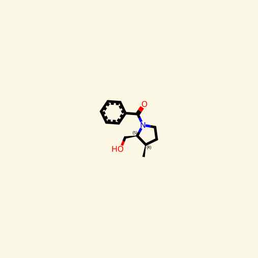 C[C@@H]1CCN(C(=O)c2ccccc2)[C@@H]1CO